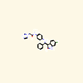 CN(C(=O)Cn1ccnc1)c1ccc(NC(=C2C(=O)Nc3cc(F)ccc32)c2ccccc2)cc1